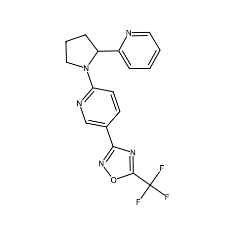 FC(F)(F)c1nc(-c2ccc(N3CCCC3c3ccccn3)nc2)no1